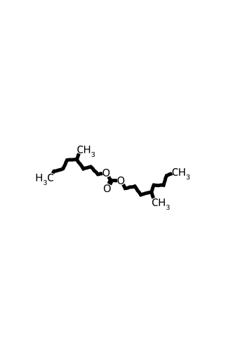 CCCCC(C)CCCOC(=O)OCCCC(C)CCCC